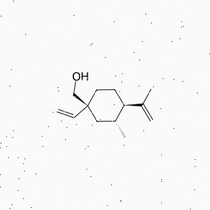 C=C[C@]1(CO)CC[C@@H](C(=C)C)[C@H](C)C1